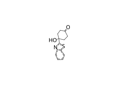 O=C1CCC(O)(c2nc3ccccc3s2)CC1